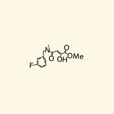 COC(=O)C(O)=CC(=O)N(C)Cc1cccc(F)c1